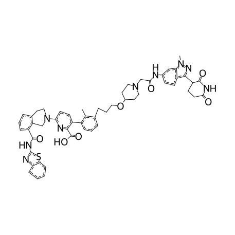 Cc1c(CCCOC2CCN(CC(=O)Nc3ccc4c(C5CCC(=O)NC5=O)nn(C)c4c3)CC2)cccc1-c1ccc(N2CCc3cccc(C(=O)Nc4nc5ccccc5s4)c3C2)nc1C(=O)O